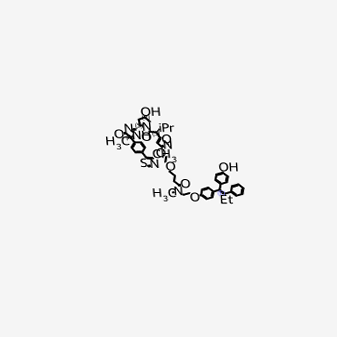 CC/C(=C(/c1ccc(O)cc1)c1ccc(OCCN(C)C(=O)CCCOCCOc2cc([C@@H](C(=O)N3C[C@H](O)C[C@H]3C3=NC(=O)[C@@](C)(c4ccc(-c5scnc5C)cc4)N3)C(C)C)on2)cc1)c1ccccc1